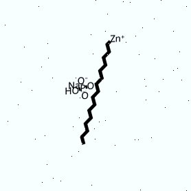 CCCCCCCCCCCCCCC[CH2][Zn+].O=P([O-])([O-])O.[Na+]